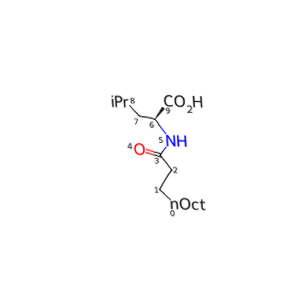 CCCCCCCCCCC(=O)N[C@@H](CC(C)C)C(=O)O